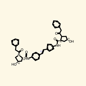 O=C(Cc1ccccc1)C1C[C@H](O)C[C@H]1C(=O)Nc1ccc(/C=C/c2ccc(NC(=O)[C@@H]3C[C@@H](O)CN3C(=O)Cc3ccccc3)cc2)cc1